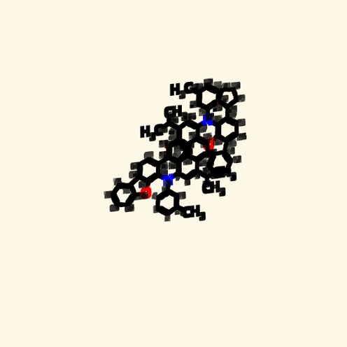 Cc1cccc(N(c2cc(C(C)C)c3ccc4c(N(c5cccc(C)c5)c5c(C6CCCC6)ccc6c5oc5ccccc56)cc(C(C)C)c5ccc2c3c54)c2c(C3CCCC3)ccc3c2oc2ccccc23)c1